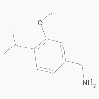 COc1cc(CN)ccc1C(C)C